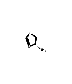 N[C@H]1COC=N1